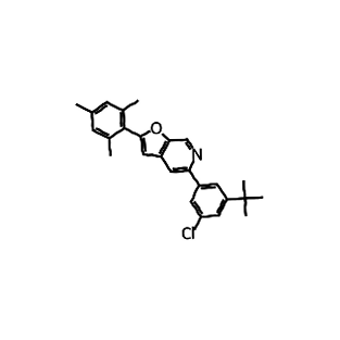 Cc1cc(C)c(-c2cc3cc(-c4cc(Cl)cc(C(C)(C)C)c4)ncc3o2)c(C)c1